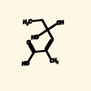 CCC(O)(O)C=C(C)C(=O)O